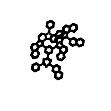 C1=CC2C(c3ccc4ccccc4c3N2c2ccccc2)c2c1c1ccc3ccccc3c1n2-c1cc(-c2nc(-c3ccccc3)nc(-c3ccc4ccccc4c3)n2)cc(-n2c3ccc4c5ccc6ccccc6c5n(-c5ccc6ccccc6c5)c4c3c3ccc4ccccc4c32)c1